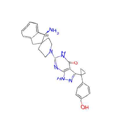 N[C@@H]1c2ccccc2CC12CCN(c1nc3[nH]nc(C4(c5ccc(O)cc5)CC4)c3c(=O)[nH]1)CC2